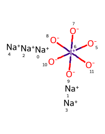 [Na+].[Na+].[Na+].[Na+].[Na+].[O-][I+]([O-])([O-])([O-])([O-])[O-]